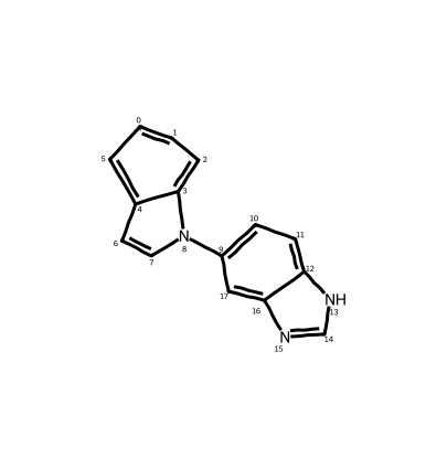 [c]1ccc2c(c1)ccn2-c1ccc2[nH]cnc2c1